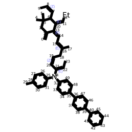 C=C1CC(C)(C)C(/C=C\C)C(=C\CC)/C1=C/C=C(\C)C/C=C\C(=C/C)N(c1ccc(C)cc1)c1ccc(-c2ccc(-c3ccccc3)cc2)cc1